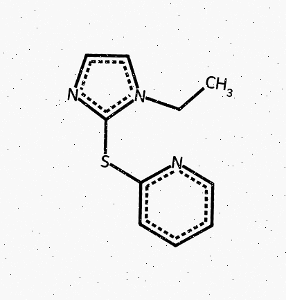 CCn1ccnc1Sc1ccccn1